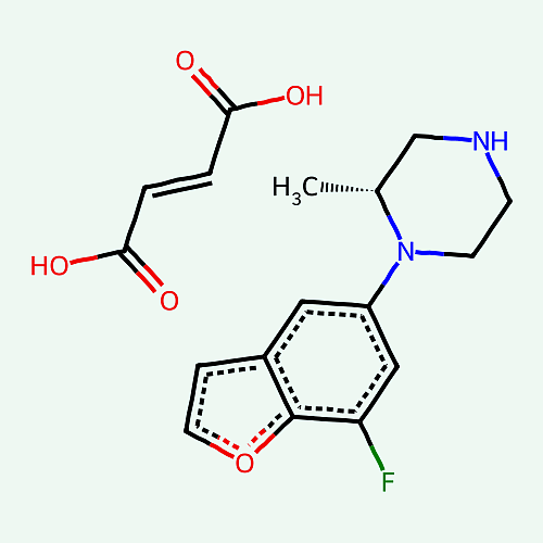 C[C@@H]1CNCCN1c1cc(F)c2occc2c1.O=C(O)/C=C/C(=O)O